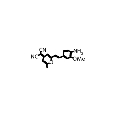 COc1cc(C=CC2=CC(=C(C#N)C#N)C=C(C)O2)ccc1N